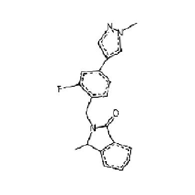 CC1c2ccccc2C(=O)N1Cc1ccc(-c2cnn(C)c2)cc1F